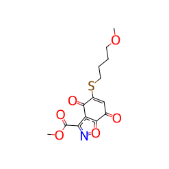 COCCCCSC1=CC(=O)c2onc(C(=O)OC)c2C1=O